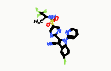 C[C@H](NS(=O)(=O)c1cnc(-c2c(C#N)c3cc(F)ccc3n2-c2ccccn2)nc1)C(F)(F)F